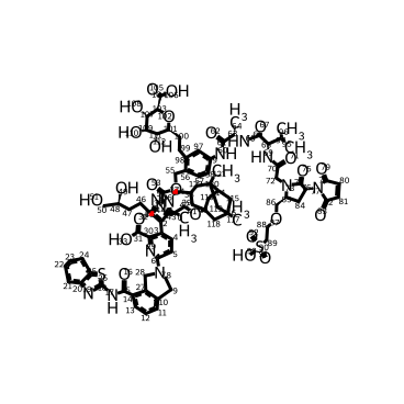 Cc1c(-c2ccc(N3CCc4cccc(C(=O)Nc5nc6ccccc6s5)c4C3)nc2C(=O)O)cnn1CC1CC2(OCCN(CCC[C@H](O)CO)C(=O)OCc3ccc(NC(=O)[C@H](C)NC(=O)[C@@H](NC(=O)CN4C(=O)[C@@H](N5C(=O)C=CC5=O)C[C@H]4COCCS(=O)(=O)O)C(C)C)cc3CC[C@@H]3O[C@H](C(=O)O)[C@@H](O)[C@H](O)[C@H]3O)CC3CC(C)(C2)CC3(C)C1